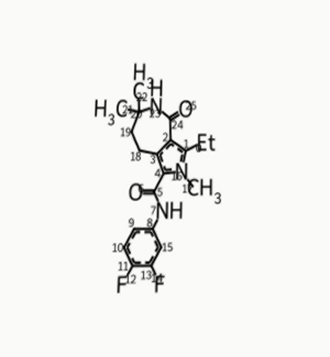 CCc1c2c(c(C(=O)Nc3ccc(F)c(F)c3)n1C)CCC(C)(C)NC2=O